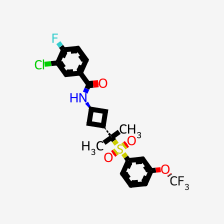 CC(C)([C@H]1C[C@H](NC(=O)c2ccc(F)c(Cl)c2)C1)S(=O)(=O)c1cccc(OC(F)(F)F)c1